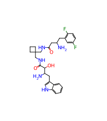 NC(CC(=O)NCC1(CNC(=O)C(O)C(N)Cc2c[nH]c3ccccc23)CCC1)Cc1cc(F)ccc1F